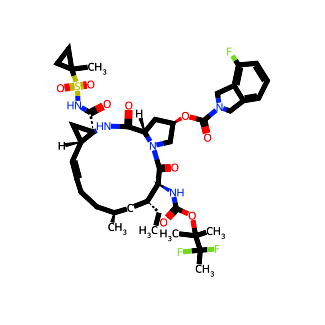 CC[C@@H]1C[C@@H](C)CCC=C[C@@H]2C[C@@]2(C(=O)NS(=O)(=O)C2(C)CC2)NC(=O)[C@@H]2C[C@@H](OC(=O)N3Cc4cccc(F)c4C3)CN2C(=O)[C@H]1NC(=O)OC(C)(C)C(C)(F)F